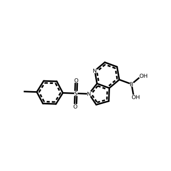 Cc1ccc(S(=O)(=O)n2ccc3c(B(O)O)ccnc32)cc1